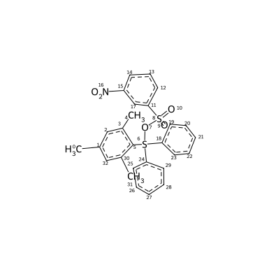 Cc1cc(C)c(S(OS(=O)(=O)c2cccc([N+](=O)[O-])c2)(c2ccccc2)c2ccccc2)c(C)c1